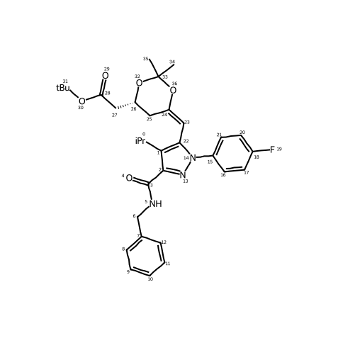 CC(C)c1c(C(=O)NCc2ccccc2)nn(-c2ccc(F)cc2)c1/C=C1\C[C@H](CC(=O)OC(C)(C)C)OC(C)(C)O1